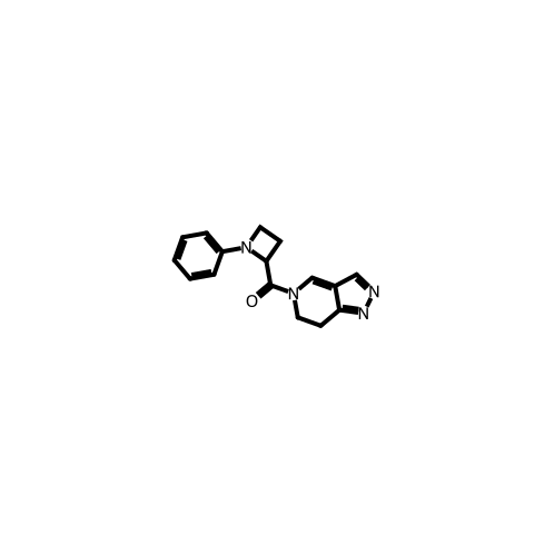 O=C(C1CCN1c1ccccc1)N1C=C2C=NN=C2CC1